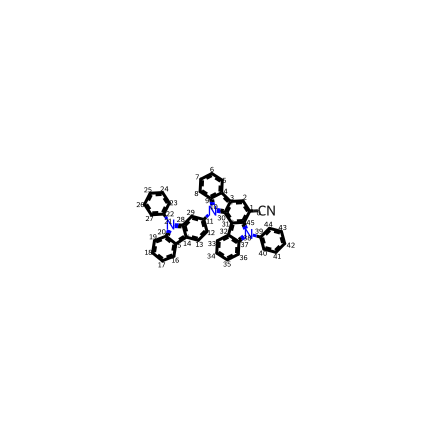 N#Cc1cc2c3ccccc3n(-c3ccc4c5ccccc5n(-c5ccccc5)c4c3)c2c2c3ccccc3n(-c3ccccc3)c12